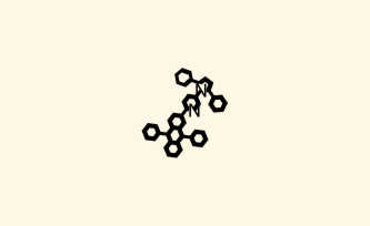 C1=CC(c2ccc(-c3ccccc3)n2-c2ccc(-c3ccc4c(-c5ccccc5)c5ccccc5c(-c5ccccc5)c4c3)nc2)=CCC1